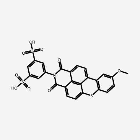 COc1ccc2sc3ccc4c(=O)n(-c5cc(S(=O)(=O)O)cc(S(=O)(=O)O)c5)c(=O)c5ccc(c2c1)c3c45